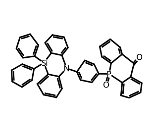 O=C1c2ccccc2P(=O)(c2ccc(N3c4ccccc4[Si](c4ccccc4)(c4ccccc4)c4ccccc43)cc2)c2ccccc21